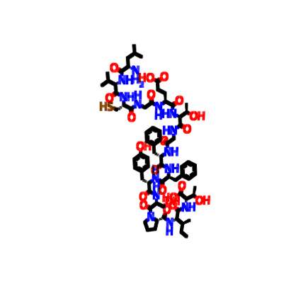 CC[C@H](C)[C@H](NC(=O)[C@@H]1CCCN1C(=O)[C@@H](NC(=O)[C@H](Cc1ccc(O)cc1)NC(=O)[C@H](Cc1ccccc1)NC(=O)[C@H](Cc1ccccc1)NC(=O)CNC(=O)[C@@H](NC(=O)[C@H](CCC(=O)O)NC(=O)CNC(=O)[C@H](CS)NC(=O)[C@@H](NC(=O)[C@@H](N)CC(C)C)C(C)C)[C@@H](C)O)[C@@H](C)O)C(=O)N[C@H](C(=O)O)[C@@H](C)O